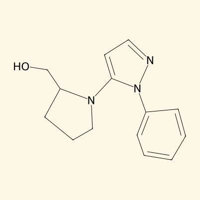 OCC1CCCN1c1ccnn1-c1ccccc1